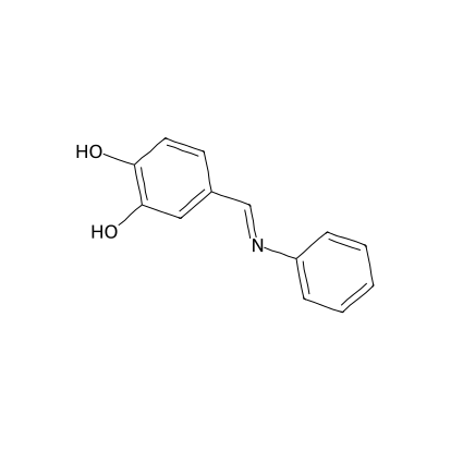 Oc1ccc(C=Nc2ccccc2)cc1O